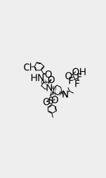 Cc1ccc(S(=O)(=O)C[C@@H]2C[C@H](N(C)C(C)C)CC[C@@H]2N2CC[C@H](NC(=O)c3cccc(Cl)c3)C2=O)cc1.O=C(O)C(F)(F)F